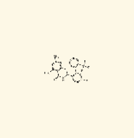 Cc1nc(N)nc2c1C(=O)NC(c1ccc(F)cc1-c1ccccc1C(F)(F)F)C2